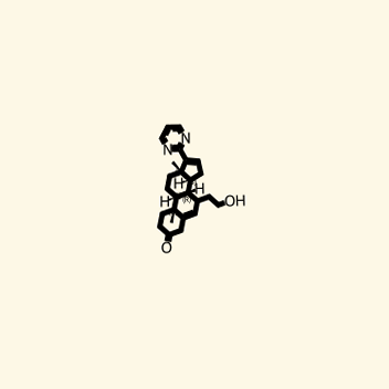 C[C@]12CCC(=O)CC1=CC(CCO)[C@@H]1[C@@H]2CC[C@]2(C)C(c3ncccn3)=CC[C@@H]12